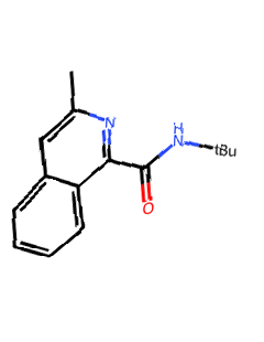 Cc1cc2ccccc2c(C(=O)NC(C)(C)C)n1